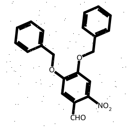 O=Cc1cc(OCc2ccccc2)c(OCc2ccccc2)cc1[N+](=O)[O-]